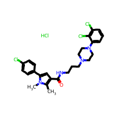 Cc1c(C(=O)NCCCN2CCN(c3cccc(Cl)c3Cl)CC2)cc(-c2ccc(Cl)cc2)n1C.Cl